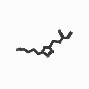 C=CC(=O)OCc1cn(CCCCCCCCCCCC)nn1